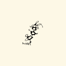 CC(=O)NC[C@H]1CN(c2cc(F)c(N3C[C@@H]4OC(=O)N(C)[C@@H]4C3)c(F)c2)C(=O)O1